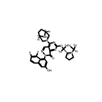 [2H]C([2H])(Oc1nc(N2C[C@H]3CC[C@@H](C2)N3)c2cnn(-c3cc(O)cc4ccc(F)c(F)c34)c(=O)c2n1)[C@@H]1CCCN1C([2H])([2H])[2H]